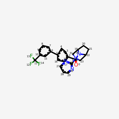 O=C(c1ccc(-c2cccc(C(F)(F)F)c2)cc1)N1C2CCC1CN(c1ncccn1)C2